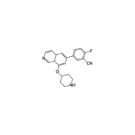 N#Cc1cc(C2=CC3C=CN=CC3C(OC3CCNCC3)=C2)ccc1F